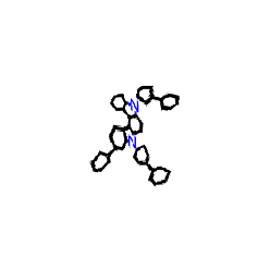 C1=CC(C2CCCC(N3C4CCCCC4C4C5C6CCC(C7CCCCC7)CC6N(C6CCC(C7CCCCC7)CC6)C5CCC43)C2)CCC1